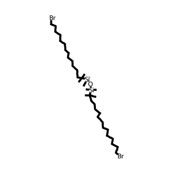 CC(C)(CCCCCCCCCCCCCBr)[Si](C)(C)O[Si](C)(C)C(C)(C)CCCCCCCCCCCCCBr